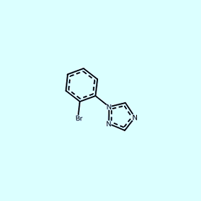 Brc1ccccc1-n1cncn1